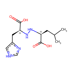 CC(C)C[C@H](NN[C@@H](Cc1c[nH]cn1)C(=O)O)C(=O)O